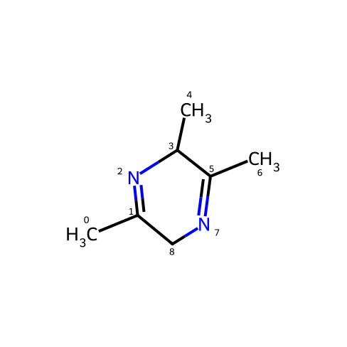 CC1=NC(C)C(C)=NC1